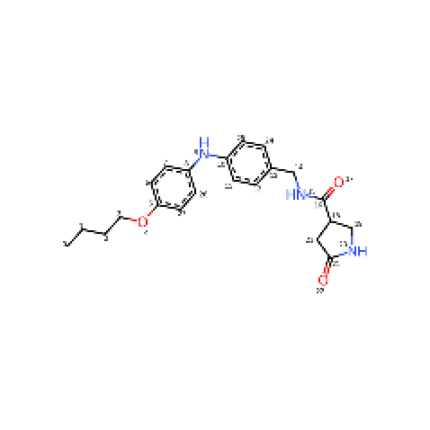 CCCCOc1ccc(Nc2ccc(CNC(=O)C3CNC(=O)C3)cc2)cc1